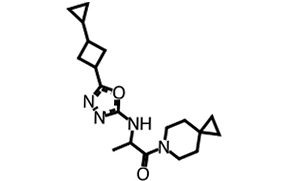 CC(Nc1nnc(C2CC(C3CC3)C2)o1)C(=O)N1CCC2(CC1)CC2